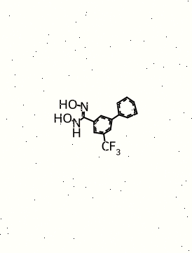 ON=C(NO)c1cc(-c2ccccc2)cc(C(F)(F)F)c1